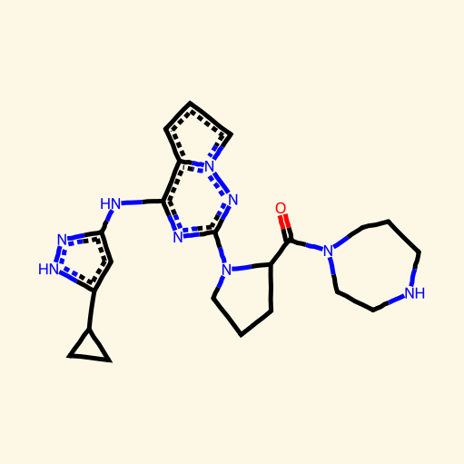 O=C(C1CCCN1c1nc(Nc2cc(C3CC3)[nH]n2)c2cccn2n1)N1CCCNCC1